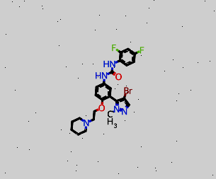 Cn1ncc(Br)c1-c1cc(NC(=O)Nc2ccc(F)cc2F)ccc1OCCN1CCCCC1